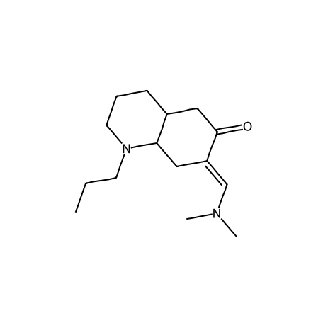 CCCN1CCCC2CC(=O)C(=CN(C)C)CC21